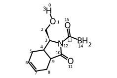 [3H]OC[C@@H]1C2CC=CCC2C(=O)N1C(B)=O